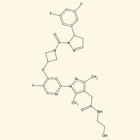 Cc1nn(-c2cc(OC3CN(C(=O)N4N=CCC4c4cc(F)cc(F)c4)C3)c(F)cn2)c(C)c1CC(=O)NCCO